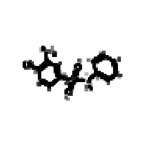 Nc1cc(S(=O)(=O)Nc2ccccc2)ccc1Cl